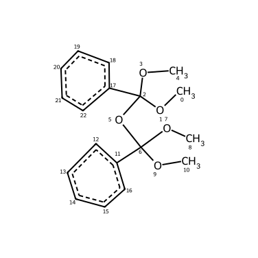 COC(OC)(OC(OC)(OC)c1ccccc1)c1ccccc1